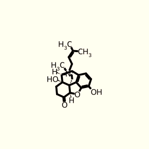 CC(C)=CC[N+]1(C)CC[C@]23c4c5ccc(O)c4O[C@H]2C(=O)CC[C@@]3(O)[C@H]1C5